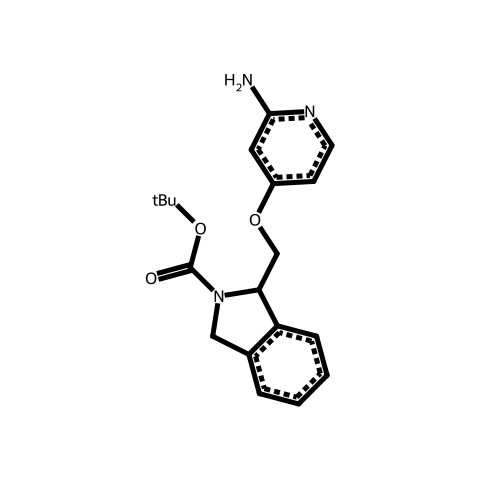 CC(C)(C)OC(=O)N1Cc2ccccc2C1COc1ccnc(N)c1